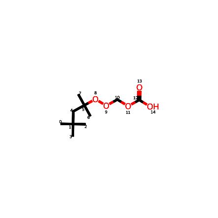 CC(C)(C)CC(C)(C)OOCOC(=O)O